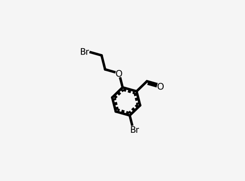 O=Cc1cc(Br)ccc1OCCBr